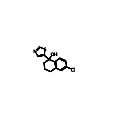 OC1(c2cncs2)CCCc2cc(Cl)ccc21